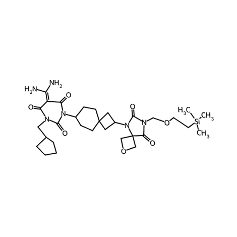 C[Si](C)(C)CCOCN1C(=O)N(C2CC3(CCC(N4C(=O)C(=C(N)N)C(=O)N(CC5CCCC5)C4=O)CC3)C2)C2(COC2)C1=O